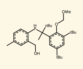 CCCCC(C)(Pc1ccc(C)cc1CO)c1cc(C(C)(C)C)cc(C(C)(C)C)c1OCOC